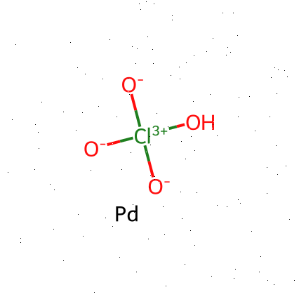 [O-][Cl+3]([O-])([O-])O.[Pd]